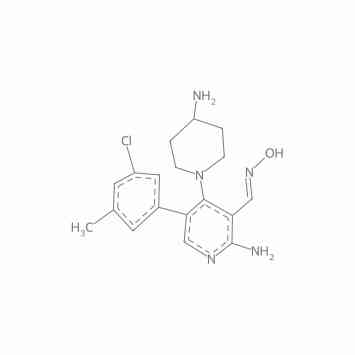 Cc1cc(Cl)cc(-c2cnc(N)c(C=NO)c2N2CCC(N)CC2)c1